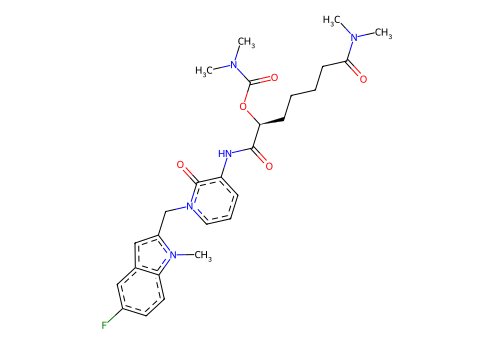 CN(C)C(=O)CCCC[C@H](OC(=O)N(C)C)C(=O)Nc1cccn(Cc2cc3cc(F)ccc3n2C)c1=O